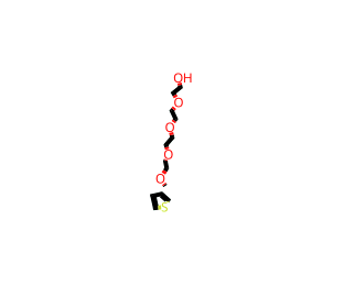 COCCOCCOCCOCCO.c1ccsc1